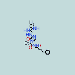 CCC(C(=O)NCC(=O)CCCc1ccccc1)n1ccnc(NCC(=N)C(C)=N)c1=O